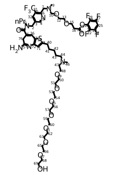 CCCN(Cc1cnc(CN(C)COCCOCCC(=O)Oc2c(F)c(F)cc(F)c2F)c(C(F)(F)F)c1)C(=O)C1=Cc2sc(CCCCCN(C)CCOCCOCCOCCOCCOCCOCCOCCO)cc2N=C(N)C1